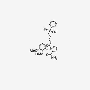 COc1cccc(C[N@+]2(C(=O)CCCC[C@@](C#N)(c3ccccc3)C(C)C)CCCC2C(N)=O)c1OC